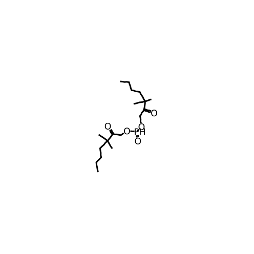 CCCCC(C)(C)C(=O)CO[PH](=O)OCC(=O)C(C)(C)CCCC